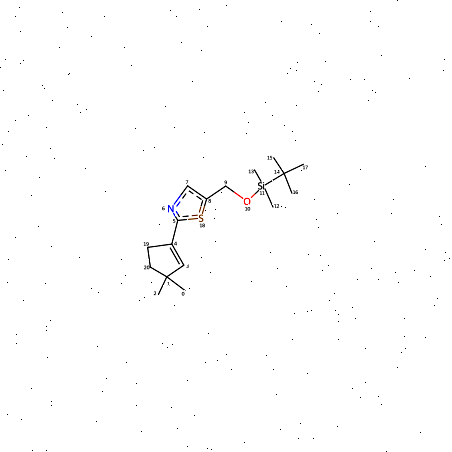 CC1(C)C=C(c2ncc(CO[Si](C)(C)C(C)(C)C)s2)CC1